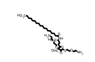 NCCOCCOCC(=O)C([C]=O)(OCCOCCN)C(=O)CC[C@H](NC(=O)CCCCCCCCCCCCCCCCC(=O)O)C(=O)O